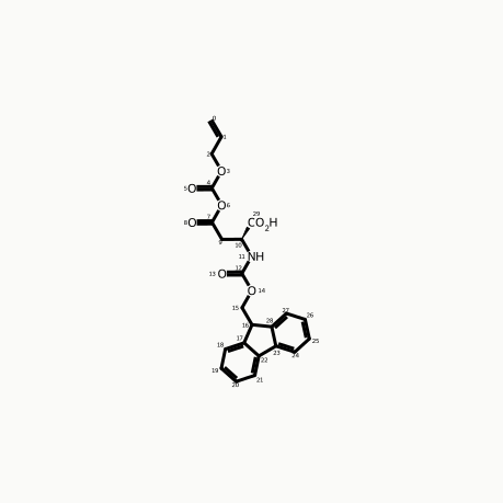 C=CCOC(=O)OC(=O)C[C@H](NC(=O)OCC1c2ccccc2-c2ccccc21)C(=O)O